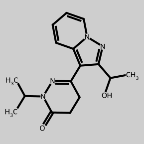 CC(O)c1nn2ccccc2c1C1=NN(C(C)C)C(=O)CC1